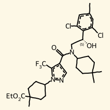 CCOC(=O)C1(C)CCC(n2ncc(C(=O)N(C[C@@H](O)c3c(Cl)cc(C)cc3Cl)C3CCC(C)(C)CC3)c2C(F)(F)F)CC1